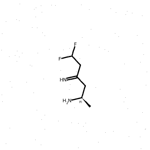 C[C@@H](N)CC(=N)CC(F)F